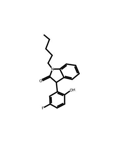 CCCCCN1C(=O)C(c2cc(F)ccc2O)c2ccccc21